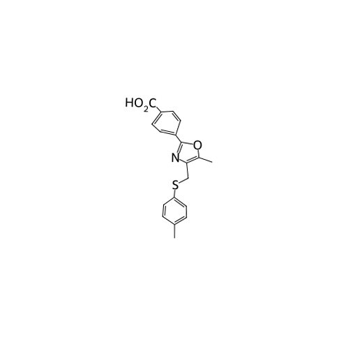 Cc1ccc(SCc2nc(-c3ccc(C(=O)O)cc3)oc2C)cc1